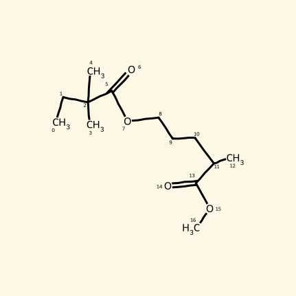 CCC(C)(C)C(=O)OCCCC(C)C(=O)OC